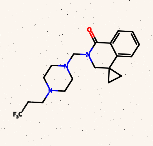 O=C1c2ccccc2C2(CC2)CN1CN1CCN(CCC(F)(F)F)CC1